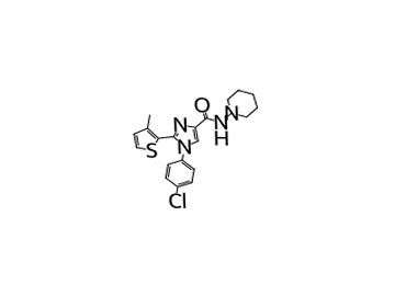 Cc1ccsc1-c1nc(C(=O)NN2CCCCC2)cn1-c1ccc(Cl)cc1